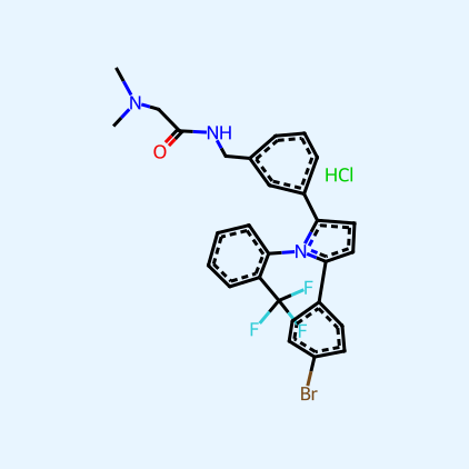 CN(C)CC(=O)NCc1cccc(-c2ccc(-c3ccc(Br)cc3)n2-c2ccccc2C(F)(F)F)c1.Cl